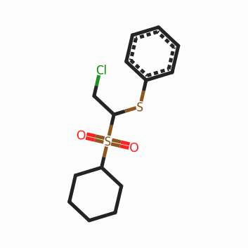 O=S(=O)(C1CCCCC1)C(CCl)Sc1ccccc1